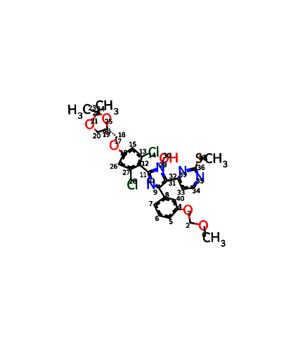 COCOc1cccc(-c2nc(-c3c(Cl)cc(OC[C@@H]4COC(C)(C)O4)cc3Cl)n(O)c2-c2ccnc(SC)n2)c1